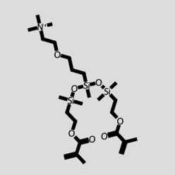 C=C(C)C(=O)OCC[Si](C)(C)O[Si](C)(CCCOCC[N+](C)(C)C)O[Si](C)(C)CCOC(=O)C(=C)C